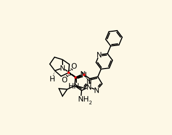 Nc1c(C2CC2)c(C2CC3CC[C@H](C2)N3S(=O)(=O)c2nnc[nH]2)nc2c(-c3ccc(-c4ccccc4)nc3)cnn12